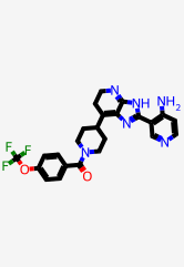 Nc1ccncc1-c1nc2c([nH]1)=NCCC=2C1CCN(C(=O)c2ccc(OC(F)(F)F)cc2)CC1